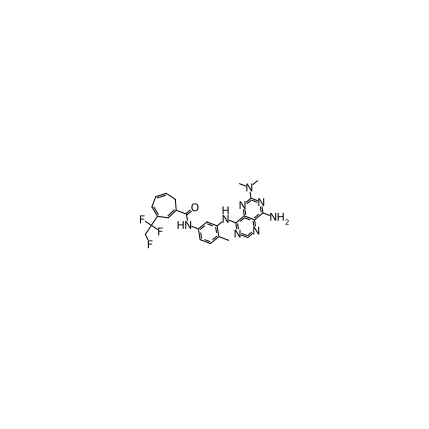 Cc1ccc(NC(=O)C2=CC(C(F)(F)CF)=CC=CC2)cc1Nc1ncnc2c(N)nc(N(C)C)nc12